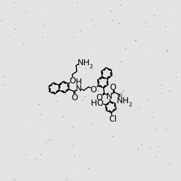 C[C@H](N)C(=O)N(C(=O)c1cc2ccccc2cc1OCCNC(=O)c1cc2ccccc2cc1OCCCN)c1ccc(Cl)cc1O